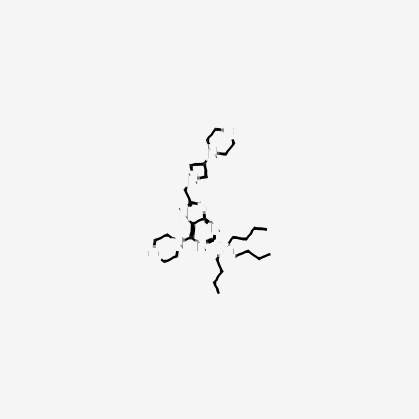 CCC[CH2][Sn]([CH2]CCC)([CH2]CCC)[c]1nc(N2CCOCC2)c2nc(CN3CC(N4CCOCC4)C3)sc2n1